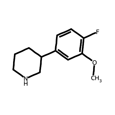 COc1cc(C2CCCNC2)ccc1F